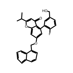 CC(C)c1cc(=O)c2c(-c3cc(CO)ccc3F)cc(OCc3cccc4ccccc34)cc2o1